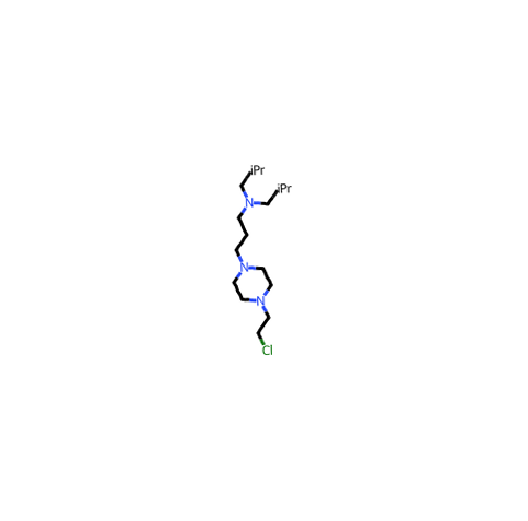 CC(C)CN(CCCN1CCN(CCCl)CC1)CC(C)C